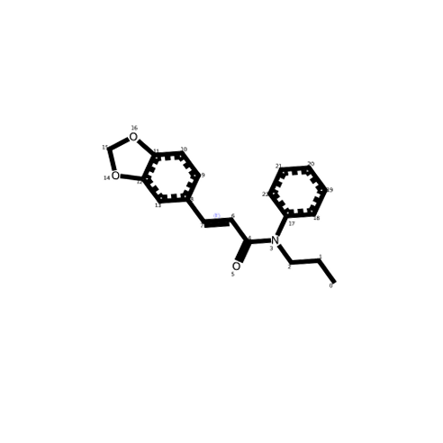 CCCN(C(=O)/C=C/c1ccc2c(c1)OCO2)c1ccccc1